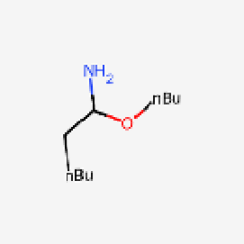 CCCCCC(N)OCCCC